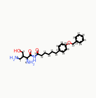 NCC(CO)C(N)C(=O)NC(=O)CCCCCc1ccc(OCc2ccccc2)cc1